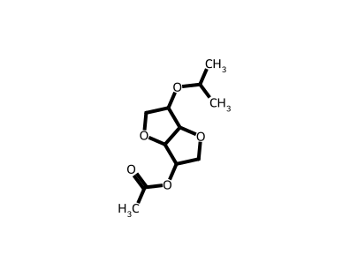 CC(=O)OC1COC2C(OC(C)C)COC12